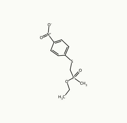 CCOP(C)(=O)CSc1ccc([N+](=O)[O-])cc1